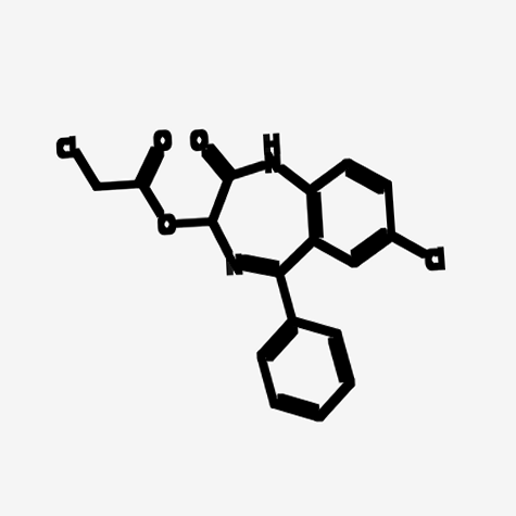 O=C(CCl)OC1N=C(c2ccccc2)c2cc(Cl)ccc2NC1=O